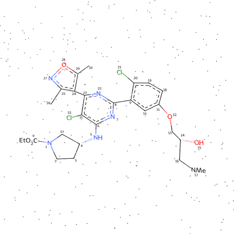 CCOC(=O)N1CC[C@@H](Nc2nc(-c3cc(OC[C@H](O)CNC)ccc3Cl)nc(-c3c(C)noc3C)c2Cl)C1